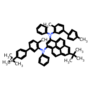 Cc1ccc(-c2ccc(C)c(N(c3ccccc3)c3cc(N(c4ccccc4)c4cc(-c5ccc([Si](C)(C)C)cc5)ccc4C)c4ccc5cc(C(C)(C)C)cc6ccc3c4c65)c2)cc1